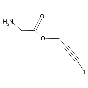 NCC(=O)OCC#CI